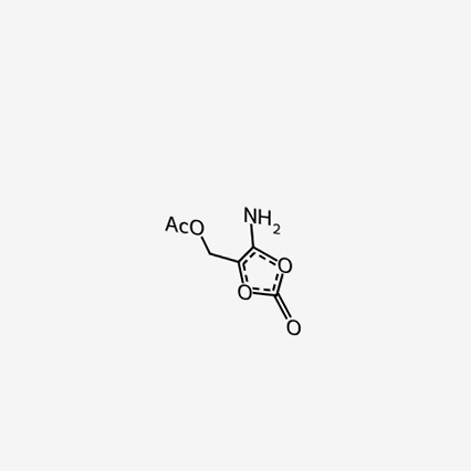 CC(=O)OCc1oc(=O)oc1N